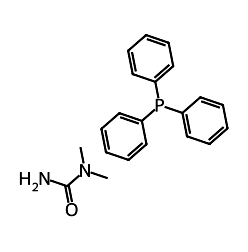 CN(C)C(N)=O.c1ccc(P(c2ccccc2)c2ccccc2)cc1